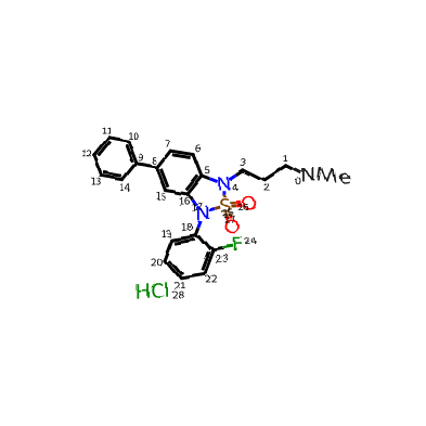 CNCCCN1c2ccc(-c3ccccc3)cc2N(c2ccccc2F)S1(=O)=O.Cl